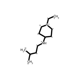 CCN1CCC(NCCC(C)C)CC1